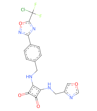 O=c1c(NCc2ccc(-c3noc(C(F)(F)Cl)n3)cc2)c(NCc2cocn2)c1=O